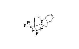 Cc1c(C(I)(C(F)(F)F)C(F)(F)F)ccc2ccccc12